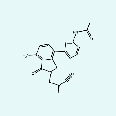 C=C(C#N)CN1Cc2c(-c3cccc(NC(C)=O)c3)ccc(N)c2C1=O